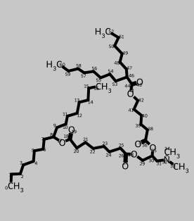 CCCCCCCCC(CCCCCCCC)OC(=O)CCCCCCC(=O)OCC(CN(C)C)OC(=O)CCCCCOC(=O)C(CCCCCC)CCCCCCCC